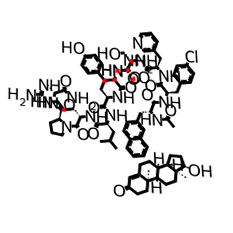 CC(=O)N[C@H](Cc1ccc2ccccc2c1)C(=O)N[C@H](Cc1ccc(Cl)cc1)C(=O)N[C@H](Cc1cccnc1)C(=O)N[C@@H](CO)C(=O)N[C@@H](Cc1ccc(O)cc1)C(=O)N[C@H](CCCNC(N)=O)C(=O)N[C@@H](CC(C)C)C(=O)N[C@@H](CCCNC(=N)N)C(=O)N1CCC[C@H]1C(=O)N[C@H](C)C(N)=O.C[C@]12CC[C@H]3[C@@H](CCC4=CC(=O)CC[C@@]43C)[C@@H]1CC[C@@H]2O